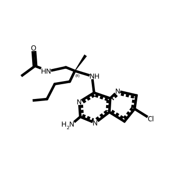 CCCC[C@](C)(CNC(C)=O)Nc1nc(N)nc2cc(Cl)cnc12